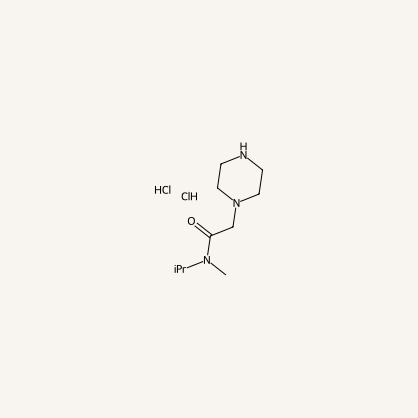 CC(C)N(C)C(=O)CN1CCNCC1.Cl.Cl